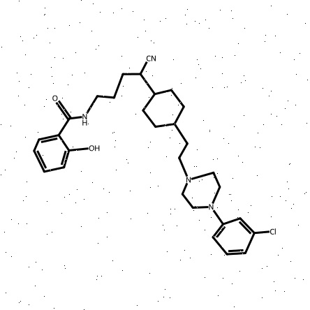 N#CC(CCCNC(=O)c1ccccc1O)C1CCC(CCN2CCN(c3cccc(Cl)c3)CC2)CC1